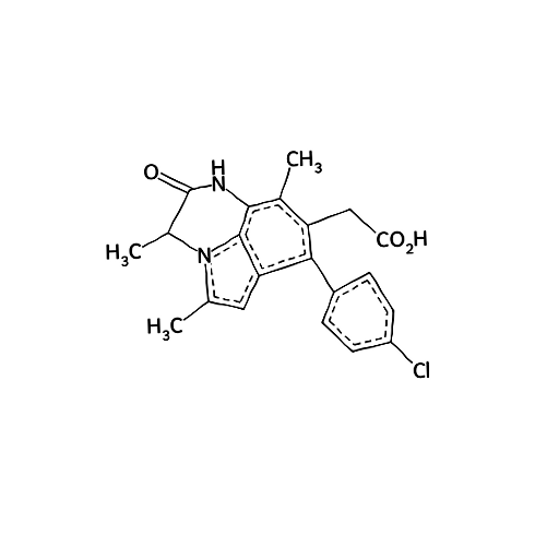 Cc1c(CC(=O)O)c(-c2ccc(Cl)cc2)c2cc(C)n3c2c1NC(=O)C3C